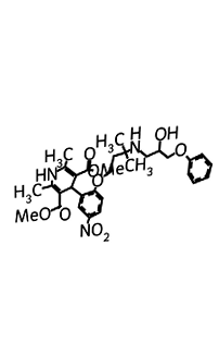 COC(=O)C1=C(C)NC(C)=C(C(=O)OC)C1c1cc([N+](=O)[O-])ccc1OCCC(C)(C)NCC(O)COc1ccccc1